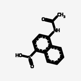 CC(=O)Nc1ccc(S(=O)O)c2ccccc12